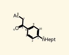 CCCCCCCc1ccc(C(=O)CC(C)=O)cc1